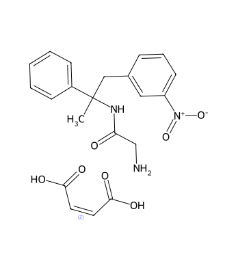 CC(Cc1cccc([N+](=O)[O-])c1)(NC(=O)CN)c1ccccc1.O=C(O)/C=C\C(=O)O